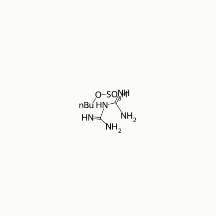 CCCCOS(=O)(=O)O.N=C(N)NC(=N)N